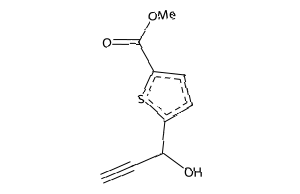 C#CC(O)c1ccc(C(=O)OC)s1